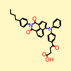 CCCCc1ccc(N2C(=O)c3cccc4c(N(c5ccccc5)c5ccc(C(=O)CCC(=O)O)cc5)ccc(c34)C2=O)cc1